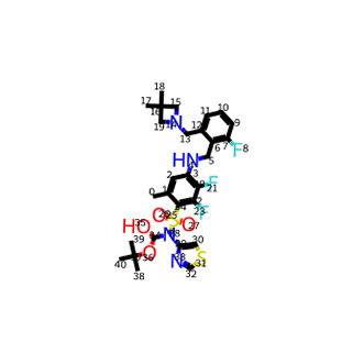 Cc1cc(NCc2c(F)cccc2CN2CC(C)(C)C2)c(F)c(F)c1S(=O)(=O)N(c1cscn1)C(O)OC(C)(C)C